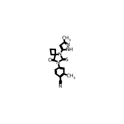 Cc1cc(N2C(=S)N(c3ccc(C#N)c(C)c3)C(=O)C23CCC3)[nH]n1